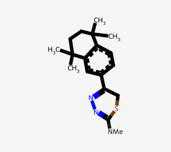 CNC1=NN=C(c2ccc3c(c2)C(C)(C)CCC3(C)C)CS1